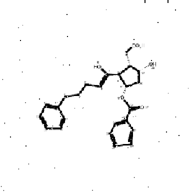 O=C(O)C[C@H]1[C@H](C(O)=CCCCc2ccccc2)[C@@H](OC(=O)c2ccccc2)C[C@H]1O